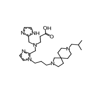 CC(C)CN1CCC2(CC1)CCN(CCCn1ccnc1CN(CCC(=O)O)Cc1ncc[nH]1)C2